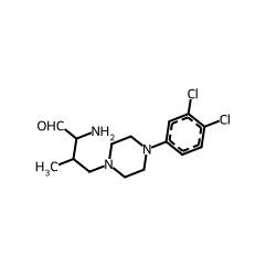 CC(CN1CCN(c2ccc(Cl)c(Cl)c2)CC1)C(N)C=O